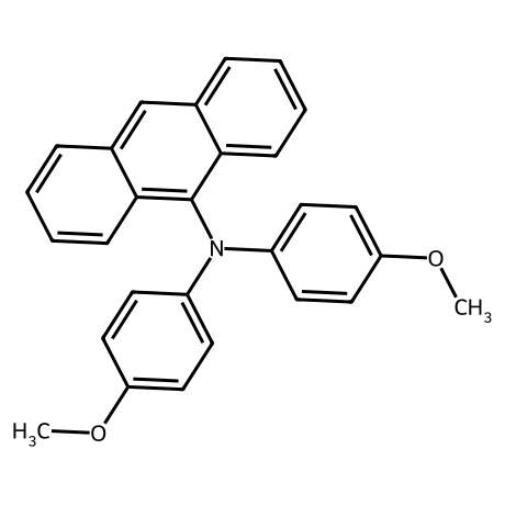 COc1ccc(N(c2ccc(OC)cc2)c2c3ccccc3cc3ccccc23)cc1